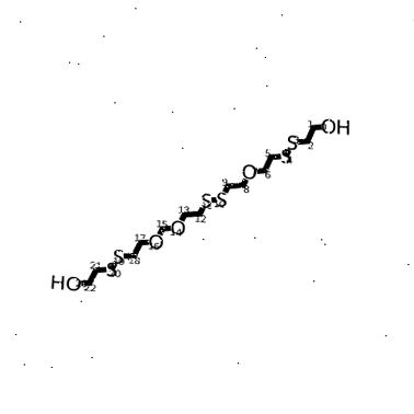 OCCSSCCOCCSSCCOCOCCSSCCO